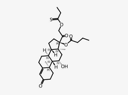 CCCC(=O)O[C@]1(C(=O)COC(=S)CC)CC[C@H]2[C@@H]3CCC4=CC(=O)CC[C@]4(C)[C@H]3[C@@H](O)C[C@@]21C